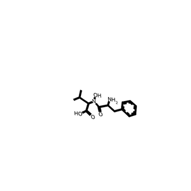 CC(C)C(C(=O)O)N(O)C(=O)C(N)Cc1ccccc1